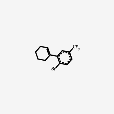 FC(F)(F)c1ccc(Br)c(C2=CCCCC2)c1